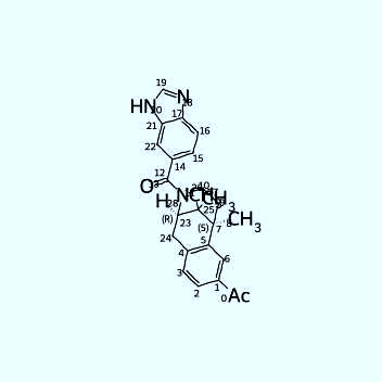 CC(=O)c1ccc2c(c1)[C@]1(C)CCN(C(=O)c3ccc4nc[nH]c4c3)[C@H](C2)C1(C)C